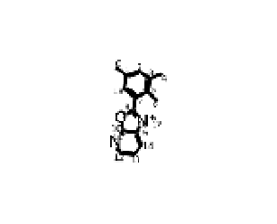 Cc1cc(C)c(C)c(-c2oc3ncccc3[n+]2C)c1